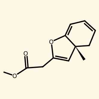 COC(=O)CC1=C[C@@]2(C)CC=CC=C2O1